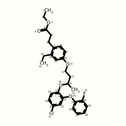 CCOC(=O)CCc1ccc(OCCC(C)Oc2ccc(Cl)cc2Oc2ccccc2F)cc1CC